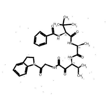 CC(C)[C@H](NC(=O)[C@H](C)NC(=O)[C@@H](NC(=O)c1ccccc1)C(C)(C)C)C(=O)C(=O)NCC(=O)N1CCc2ccccc21